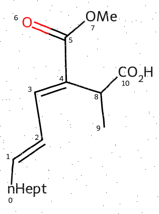 CCCCCCCC=CC=C(C(=O)OC)C(C)C(=O)O